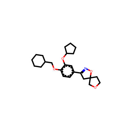 c1cc(OCC2CCCCC2)c(OC2CCCC2)cc1C1=NOC2(CCOC2)C1